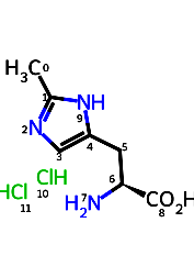 Cc1ncc(C[C@H](N)C(=O)O)[nH]1.Cl.Cl